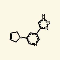 C1=CCN(c2cncc(-c3c[nH]nn3)c2)C1